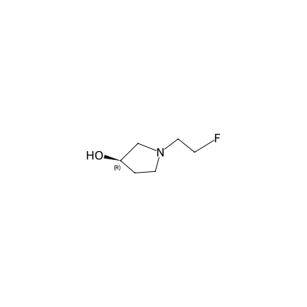 O[C@@H]1CCN(CCF)C1